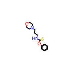 S=C(NCCCN1CCOCC1)Oc1ccccc1